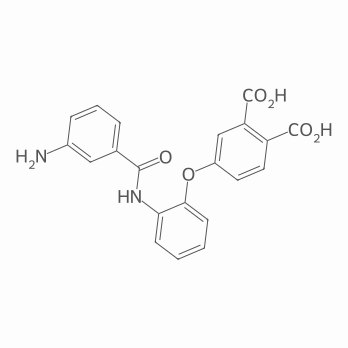 Nc1cccc(C(=O)Nc2ccccc2Oc2ccc(C(=O)O)c(C(=O)O)c2)c1